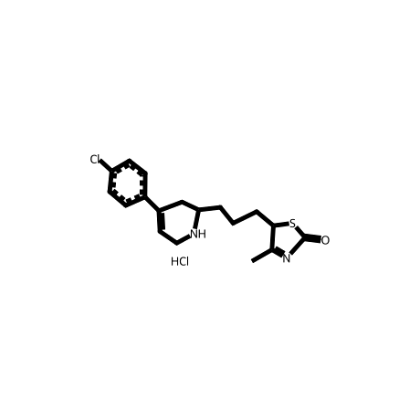 CC1=NC(=O)SC1CCCC1CC(c2ccc(Cl)cc2)=CCN1.Cl